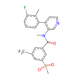 Cc1c(F)cccc1-c1ccncc1N(C)C(=O)c1cc(C(F)(F)F)cc(S(C)(=O)=O)c1